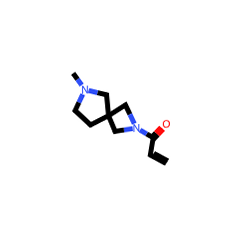 C=CC(=O)N1CC2(CCN(C)C2)C1